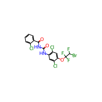 O=C(NC(=O)c1ccccc1Cl)Nc1cc(Cl)c(OC(F)(F)C(F)Br)cc1Cl